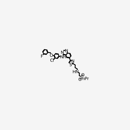 CCCS(=O)(=O)CCNCCCc1nc(-c2ccc3ncnc(Nc4ccc(OCc5cccc(F)c5)c(Cl)c4)c3c2)cs1